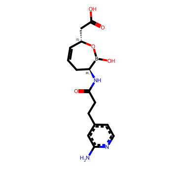 Nc1cc(CCC(=O)N[C@H]2CC=C[C@H](CC(=O)O)OB2O)ccn1